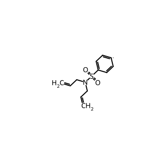 C=CCN(CC=C)S(=O)(=O)c1cc[c]cc1